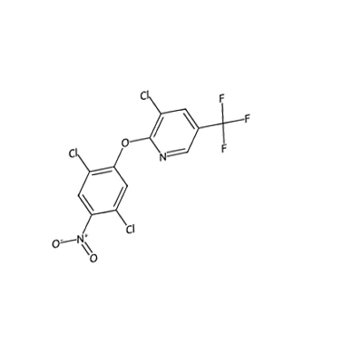 O=[N+]([O-])c1cc(Cl)c(Oc2ncc(C(F)(F)F)cc2Cl)cc1Cl